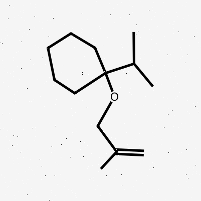 C=C(C)COC1(C(C)C)CCCCC1